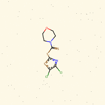 S=C(Sc1nc(Cl)c(Cl)s1)N1CCOCC1